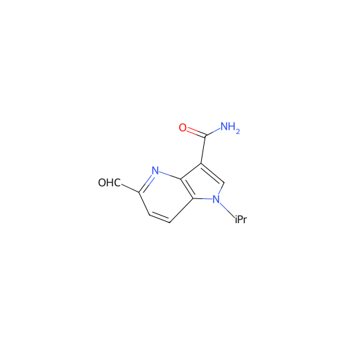 CC(C)n1cc(C(N)=O)c2nc(C=O)ccc21